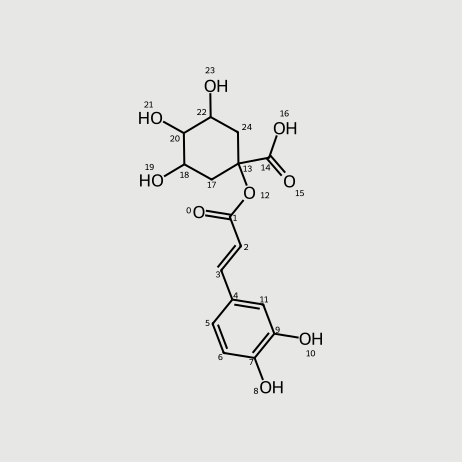 O=C(/C=C/c1ccc(O)c(O)c1)OC1(C(=O)O)CC(O)C(O)C(O)C1